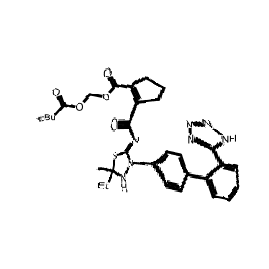 CCC1(C)NN(c2ccc(-c3ccccc3-c3nnn[nH]3)cc2)C(=NC(=O)C2=C(C(=O)OCOC(=O)C(C)(C)C)CCC2)S1